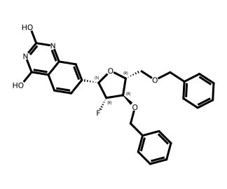 Oc1nc(O)c2ccc([C@@H]3O[C@H](COCc4ccccc4)[C@@H](OCc4ccccc4)[C@@H]3F)cc2n1